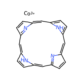 C1=Cc2cc3ccc(cc4nc(cc5ccc(cc1n2)[nH]5)C=C4)[nH]3.[Co+3]